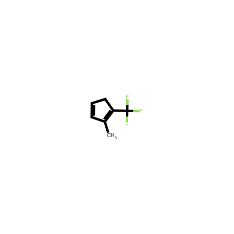 CC1=C(C(F)(F)F)CC=C1